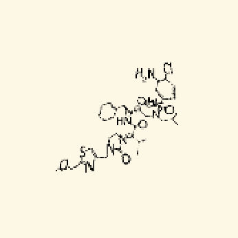 COCc1nc(CN2CCN([C@H](C(=O)N[C@@H](Cc3ccccc3)[C@H](O)CN(CC(C)C)S(=O)(=O)c3ccc(Cl)c(N)c3)C(C)C)C2=O)cs1